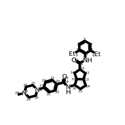 CCc1cccc(CC)c1NC(=O)C1CC2CCC(NC(=O)c3ccc(N4CCN(C)CC4)cc3)C2C1